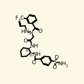 C=CCNN(CC(=O)N[C@@H]1CCCC[C@@H]1NC(=O)c1ccc(S(N)(=O)=O)cc1)C(=O)c1cccc(C(F)(F)F)c1